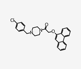 O=C(COc1cc2ccccc2c2ccccc12)N1CCN(Cc2ccc(Cl)cc2)CC1